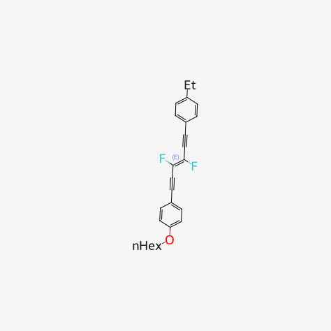 CCCCCCOc1ccc(C#C/C(F)=C(\F)C#Cc2ccc(CC)cc2)cc1